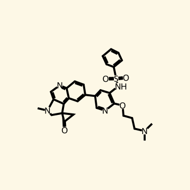 CN(C)CCCOc1ncc(-c2ccc3ncc4c(c3c2)C2(CC2=O)CN4C)cc1NS(=O)(=O)c1ccccc1